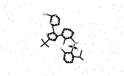 CC(C)c1cccc(F)c1S(=O)(=O)Nc1cccc(-c2cc(C(C)(C)C)sc2-c2ccnc(N)n2)c1F